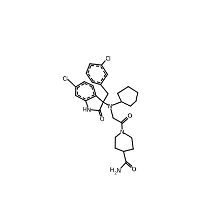 NC(=O)C1CCN(C(=O)CN(C2CCCCC2)C2(Cc3cccc(Cl)c3)C(=O)Nc3cc(Cl)ccc32)CC1